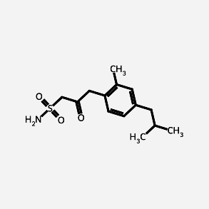 Cc1cc(CC(C)C)ccc1CC(=O)CS(N)(=O)=O